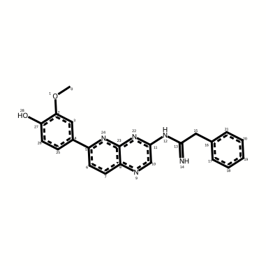 COc1cc(-c2ccc3ncc(NC(=N)Cc4ccccc4)nc3n2)ccc1O